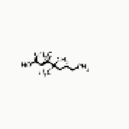 CCCCC(C)(C)C(C)=CC(=O)O